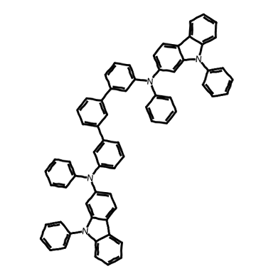 c1ccc(N(c2cccc(-c3cccc(-c4cccc(N(c5ccccc5)c5ccc6c7ccccc7n(-c7ccccc7)c6c5)c4)c3)c2)c2ccc3c4ccccc4n(-c4ccccc4)c3c2)cc1